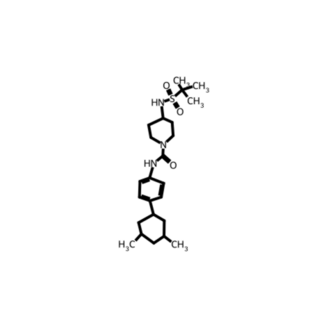 CC1CC(C)CC(c2ccc(NC(=O)N3CCC(NS(=O)(=O)C(C)(C)C)CC3)cc2)C1